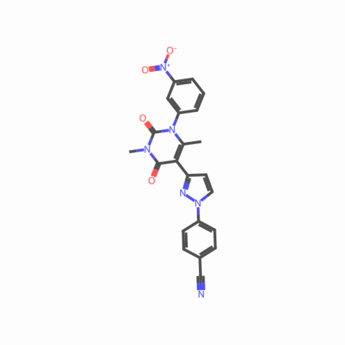 Cc1c(-c2ccn(-c3ccc(C#N)cc3)n2)c(=O)n(C)c(=O)n1-c1cccc([N+](=O)[O-])c1